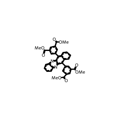 COC(=O)c1cc(C(=O)OC)cc(-c2c3ccccc3c(-c3cc(C(=O)OC)cc(C(=O)OC)c3)c3nc4ccccc4nc23)c1